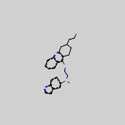 CC(=O)NCCC1CCc2c(nc3ccccc3c2NCCN(C(=O)O)c2ccc3[nH]ccc3c2)C1.Cl